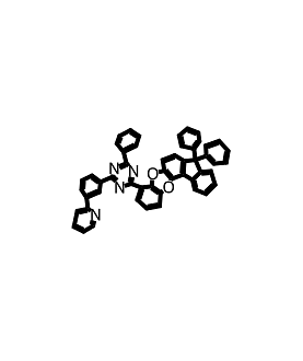 c1ccc(-c2nc(-c3cccc(-c4ccccn4)c3)nc(-c3cccc4c3Oc3ccc5c(c3O4)-c3ccccc3C5(c3ccccc3)c3ccccc3)n2)cc1